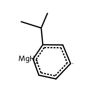 CC(C)c1c[c]ccc1.[MgH2]